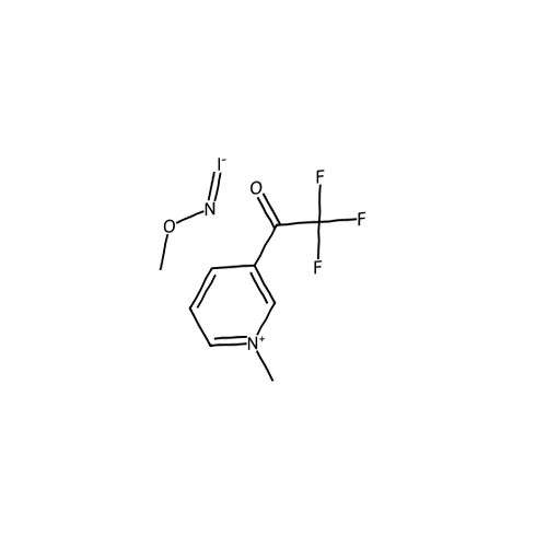 CON=[I-].C[n+]1cccc(C(=O)C(F)(F)F)c1